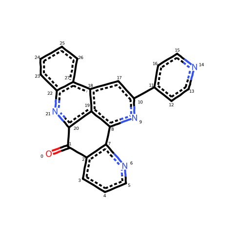 O=C1c2cccnc2-c2nc(-c3ccncc3)cc3c2c1nc1ccccc13